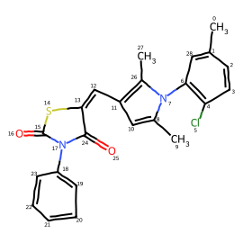 Cc1ccc(Cl)c(-n2c(C)cc(C=C3SC(=O)N(c4ccccc4)C3=O)c2C)c1